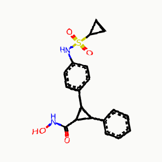 O=C(NO)C1C(c2ccccc2)C1c1ccc(NS(=O)(=O)C2CC2)cc1